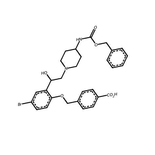 O=C(NC1CCN(CC(O)c2cc(Br)ccc2OCc2ccc(C(=O)O)cc2)CC1)OCc1ccccc1